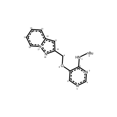 CCCCNc1ncncc1OCc1cc2ccccn2n1